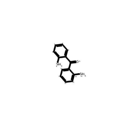 O=C(c1ccccc1[SiH3])c1ccccc1[SiH3]